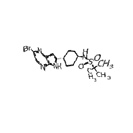 CC(C)(C)S(=O)(=O)N[C@H]1CC[C@H](c2cc3nc(Br)cnc3[nH]2)CC1